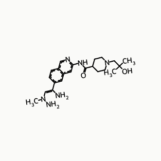 CN(N)/C=C(\N)c1ccc2cnc(NC(=O)C3CCN(CC(C)(C)O)CC3)cc2c1